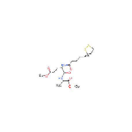 CC(NC(=O)C(CCC(=O)OC(C)(C)C)NC(=O)CCCC[C@@H]1CCSS1)C(=O)OC(C)(C)C